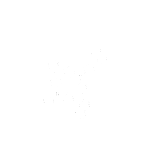 c1ccc(N(c2ccc(-c3ccccc3-c3ccc(N(c4ccccc4)c4ccc(-c5cccc6ccccc56)cc4)cc3)cc2)c2ccc(-c3cccc4ccccc34)cc2)cc1